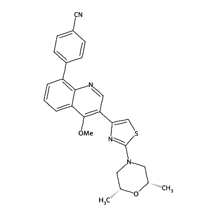 COc1c(-c2csc(N3C[C@@H](C)O[C@@H](C)C3)n2)cnc2c(-c3ccc(C#N)cc3)cccc12